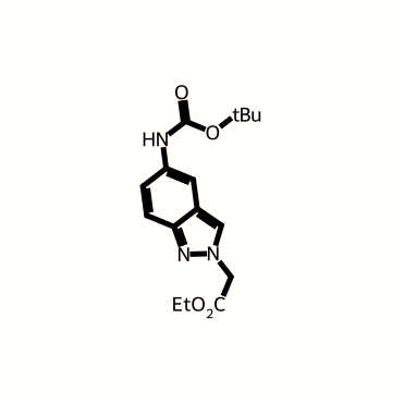 CCOC(=O)Cn1cc2cc(NC(=O)OC(C)(C)C)ccc2n1